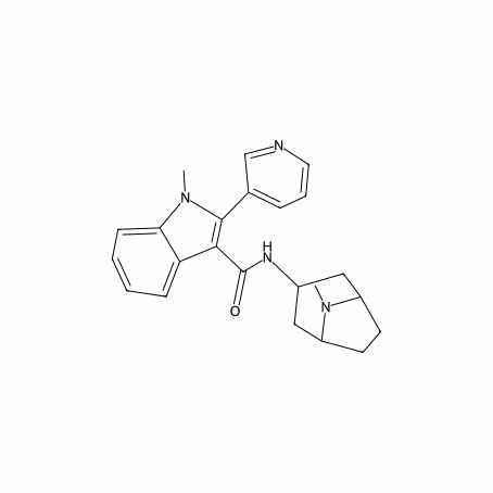 CN1C2CCC1CC(NC(=O)c1c(-c3cccnc3)n(C)c3ccccc13)C2